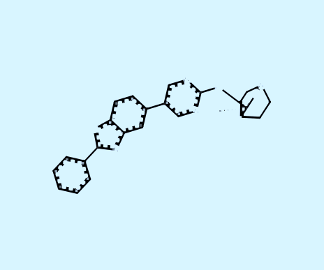 c1ccc(-c2nc3cc(-c4cnc(O[C@H]5CN6CCC5CC6)nc4)ccc3o2)cc1